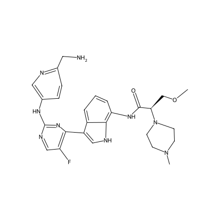 COC[C@H](C(=O)Nc1cccc2c(-c3nc(Nc4ccc(CN)nc4)ncc3F)c[nH]c12)N1CCN(C)CC1